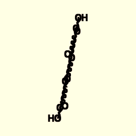 O=C(CSCSCSCCOOCSCSCSCOC(=O)CSCSCSCCOOCCCO)OCCCO